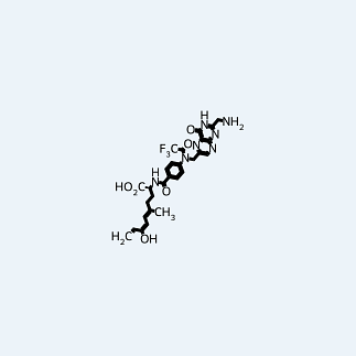 C=C/C(O)=C\C=C(/C)CC[C@H](NC(=O)c1ccc(N(Cc2cnc3nc(CN)[nH]c(=O)c3n2)C(=O)C(F)(F)F)cc1)C(=O)O